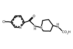 O=C(O)NC1CCN(NC(=O)c2ccc(Cl)cn2)CC1